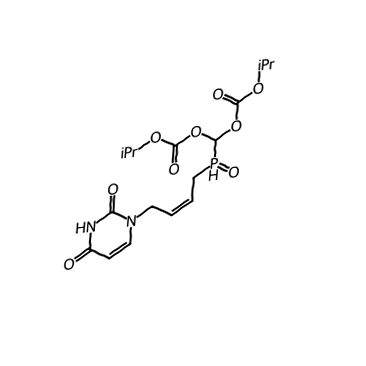 CC(C)OC(=O)OC(OC(=O)OC(C)C)[PH](=O)C/C=C\Cn1ccc(=O)[nH]c1=O